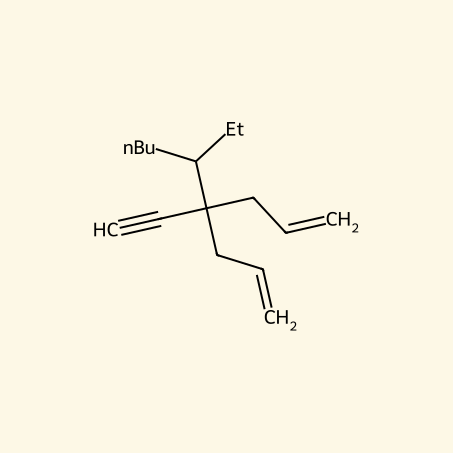 C#CC(CC=C)(CC=C)C(CC)CCCC